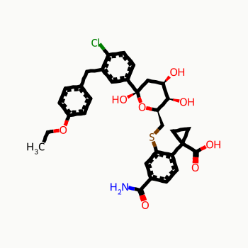 CCOc1ccc(Cc2cc([C@]3(O)C[C@@H](O)[C@@H](O)[C@@H](CSc4cc(C(N)=O)ccc4C4(C(=O)O)CC4)O3)ccc2Cl)cc1